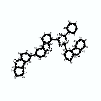 c1ccc(-c2nc(-c3cccc4c3oc3ccc(-c5ccc6oc7ccccc7c6c5)cc34)nc(-c3cccc4sc5ccccc5c34)n2)cc1